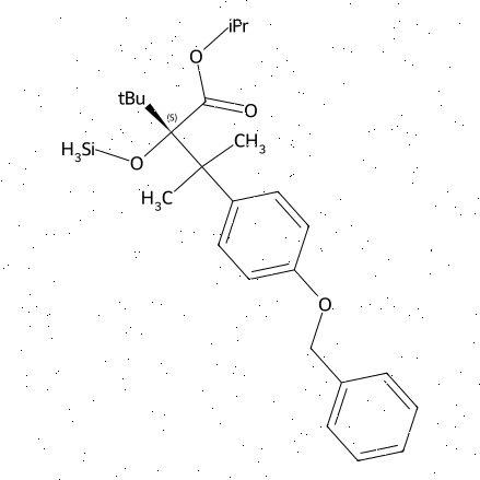 CC(C)OC(=O)[C@](O[SiH3])(C(C)(C)C)C(C)(C)c1ccc(OCc2ccccc2)cc1